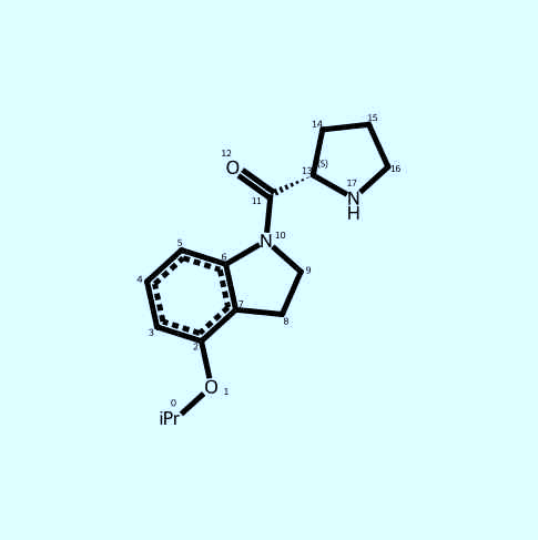 CC(C)Oc1cccc2c1CCN2C(=O)[C@@H]1CCCN1